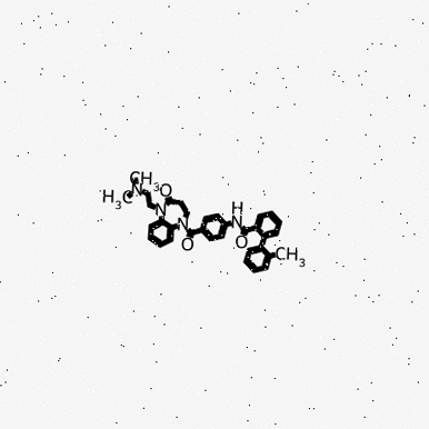 Cc1ccccc1-c1ccccc1C(=O)Nc1ccc(C(=O)N2CCC(=O)N(CCN(C)C)c3ccccc32)cc1